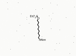 CCCCCCCCCCCCCCCCCCOC(=O)OCC